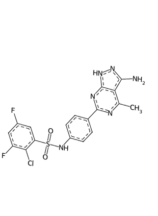 Cc1nc(-c2ccc(NS(=O)(=O)c3cc(F)cc(F)c3Cl)cc2)nc2[nH]nc(N)c12